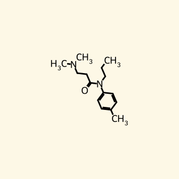 CCCN(C(=O)CCN(C)C)c1ccc(C)cc1